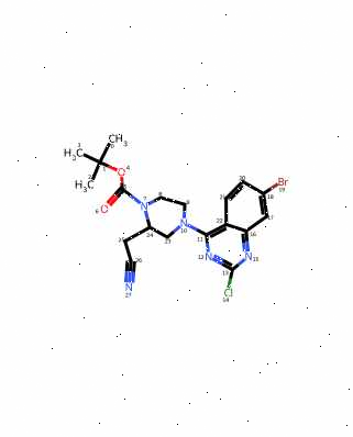 CC(C)(C)OC(=O)N1CCN(c2nc(Cl)nc3cc(Br)ccc23)CC1CC#N